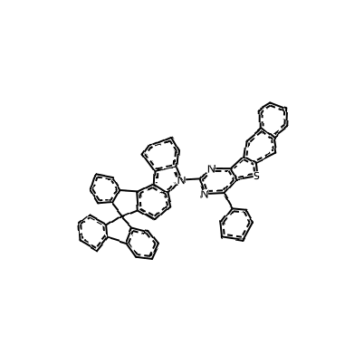 c1ccc(-c2nc(-n3c4ccccc4c4c5c(ccc43)C3(c4ccccc4-c4ccccc43)c3ccccc3-5)nc3c2sc2cc4ccccc4cc23)cc1